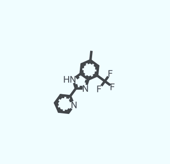 Cc1cc(C(F)(F)F)c2nc(-c3ccccn3)[nH]c2c1